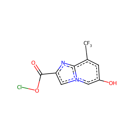 O=C(OCl)c1cn2cc(O)cc(C(F)(F)F)c2n1